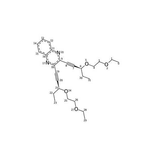 CCOCCO[C@H](C#Cc1nc2ccccc2nc1C#C[C@H](CC)OCCOCC)CC